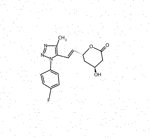 Cc1nnn(-c2ccc(F)cc2)c1C=C[C@H]1C[C@H](O)CC(=O)O1